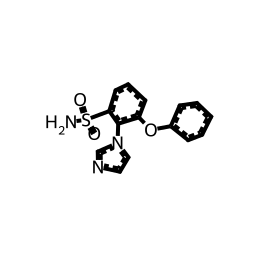 NS(=O)(=O)c1cccc(Oc2ccccc2)c1-n1ccnc1